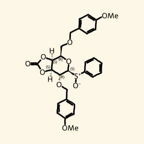 COc1ccc(COC[C@H]2O[C@@H]([S+]([O-])c3ccccc3)[C@H](OCc3ccc(OC)cc3)[C@H]3OC(=O)O[C@H]32)cc1